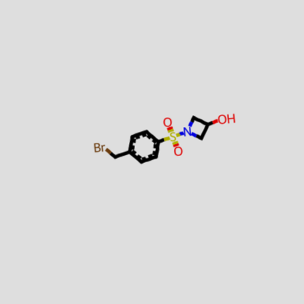 O=S(=O)(c1ccc(CBr)cc1)N1CC(O)C1